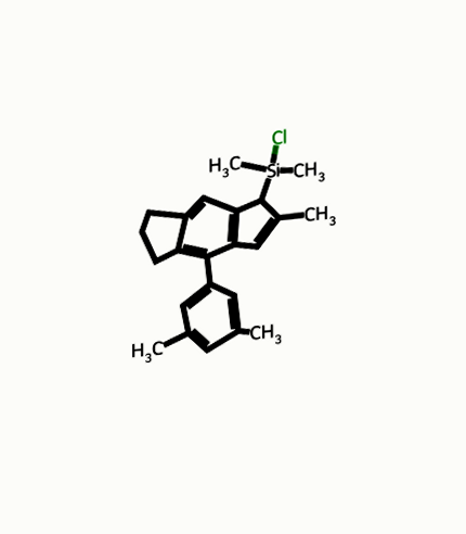 CC1=Cc2c(cc3c(c2-c2cc(C)cc(C)c2)CCC3)C1[Si](C)(C)Cl